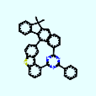 CC1(C)c2ccccc2-c2c(-c3ccc4sc5cccc(-c6nc(-c7ccccc7)nc(-c7ccccc7)n6)c5c4c3)cccc21